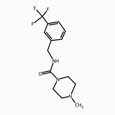 CN1CCN(C(=O)NCc2cccc(C(F)(F)F)c2)CC1